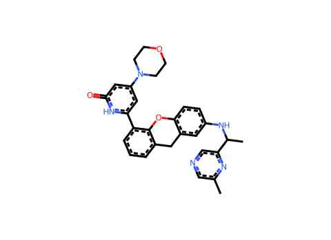 Cc1cncc(C(C)Nc2ccc3c(c2)Cc2cccc(-c4cc(N5CCOCC5)cc(=O)[nH]4)c2O3)n1